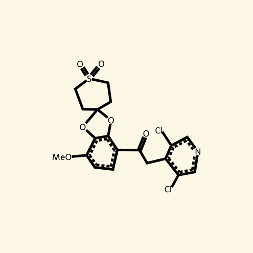 COc1ccc(C(=O)Cc2c(Cl)cncc2Cl)c2c1OC1(CCS(=O)(=O)CC1)O2